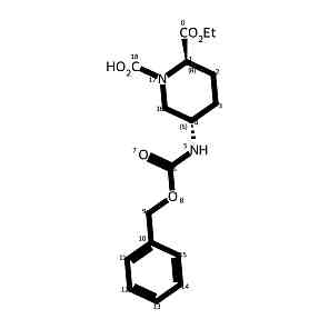 CCOC(=O)[C@H]1CC[C@H](NC(=O)OCc2ccccc2)CN1C(=O)O